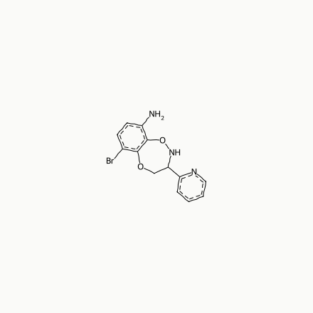 Nc1ccc(Br)c2c1ONC(c1ccccn1)CO2